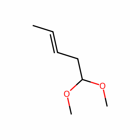 CC=CCC(OC)OC